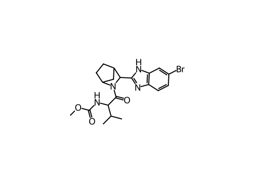 COC(=O)NC(C(=O)N1C2CCC(C2)C1c1nc2ccc(Br)cc2[nH]1)C(C)C